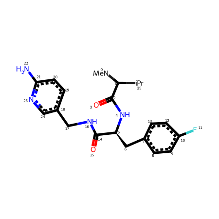 CNC(C(=O)N[C@@H](Cc1ccc(F)cc1)C(=O)NCc1ccc(N)nc1)C(C)C